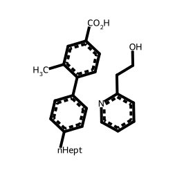 CCCCCCCc1ccc(-c2ccc(C(=O)O)cc2C)cc1.OCCc1ccccn1